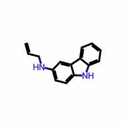 C=CCNc1ccc2[nH]c3ccccc3c2c1